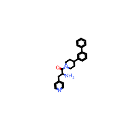 NC(Cc1ccncc1)C(=O)N1CCC(c2cccc(-c3ccccc3)c2)CC1